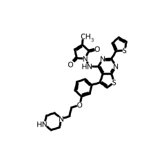 CC1=CC(=O)N(Nc2nc(-c3cccs3)nc3scc(-c4cccc(OCCN5CCNCC5)c4)c23)C1=O